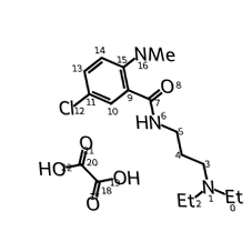 CCN(CC)CCCNC(=O)c1cc(Cl)ccc1NC.O=C(O)C(=O)O